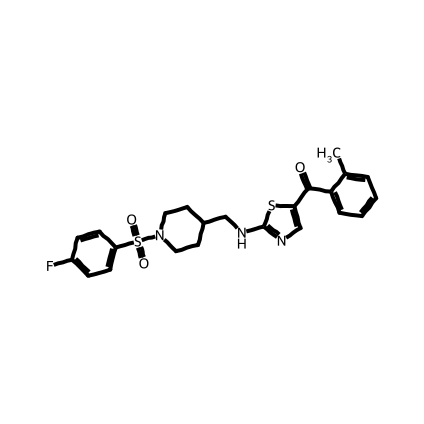 Cc1ccccc1C(=O)c1cnc(NCC2CCN(S(=O)(=O)c3ccc(F)cc3)CC2)s1